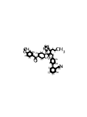 CCCc1c(Cc2ccc(-c3ccccc3C#N)cc2)c(=O)n([C@H]2CC[C@H](C(=O)c3ccc(OC)cc3)CC2)c2ncnn12